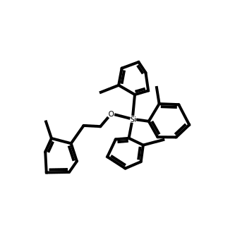 Cc1ccccc1CCO[Si](c1ccccc1C)(c1ccccc1C)c1ccccc1C